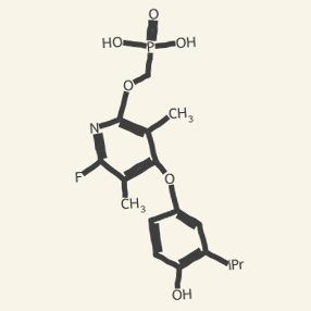 Cc1c(F)nc(OCP(=O)(O)O)c(C)c1Oc1ccc(O)c(C(C)C)c1